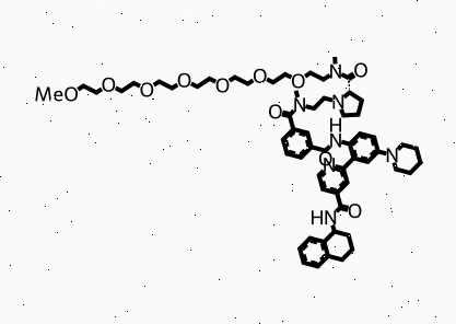 COCCOCCOCCOCCOCCOCCOCCN(C)C(=O)[C@@H]1CCCN1CCN(C)C(=O)c1cccc(C(=O)Nc2ccc(N3CCCCC3)cc2-c2cc(C(=O)NC3CCCc4ccccc43)ccn2)c1